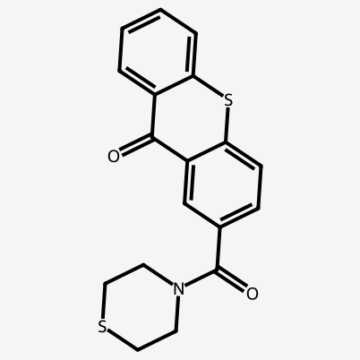 O=C(c1ccc2sc3ccccc3c(=O)c2c1)N1CCSCC1